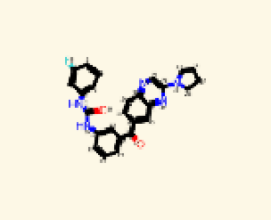 O=C(Nc1cccc(F)c1)Nc1cccc(C(=O)c2ccc3ncc(N4CCCC4)nc3c2)c1